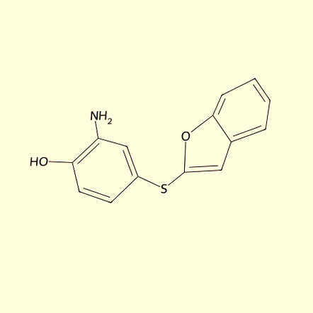 Nc1cc(Sc2cc3ccccc3o2)ccc1O